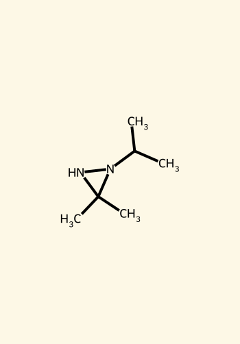 CC(C)N1NC1(C)C